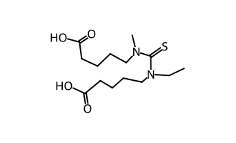 CCN(CCCCC(=O)O)C(=S)N(C)CCCCC(=O)O